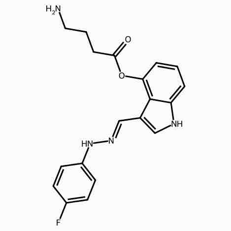 NCCCC(=O)Oc1cccc2[nH]cc(C=NNc3ccc(F)cc3)c12